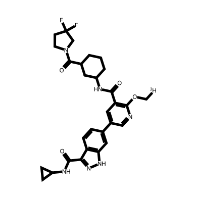 [2H]COc1ncc(-c2ccc3c(C(=O)NC4CC4)n[nH]c3c2)cc1C(=O)NC1CCCC(C(=O)N2CCC(F)(F)C2)C1